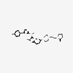 CCc1nc2ccc(N3CCN(CCN4CCCC4=O)CC3)nn2c1N(C)c1nc(-c2ccc(F)cc2)cs1